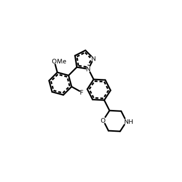 COc1cccc(F)c1-c1ccnn1-c1ccc(C2CNCCO2)cc1